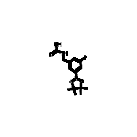 CC1(C)OB(c2cc(F)cc(CNC(=O)O)c2)OC1(C)C